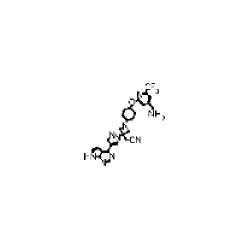 N#CCC1(n2cc(-c3ncnc4[nH]ccc34)cn2)CN(C2CCC(Oc3cc(CN)cc(C(F)(F)F)n3)CC2)C1